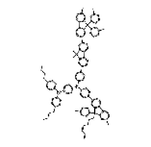 C=C/C=C\CCCC1(c2ccc(C)cc2)c2cc(C)ccc2-c2ccc(-c3ccc(N(c4ccc(-c5ccc6c(c5)C(C)(C)c5cc(-c7ccc8c(c7)C(c7cccc(C)c7)(c7cccc(C)c7)c7cc(C)ccc7-8)ccc5-6)cc4)c4ccc(N(c5ccc(CCCC)cc5)c5ccc(CCCC)cc5)cc4)cc3)cc21